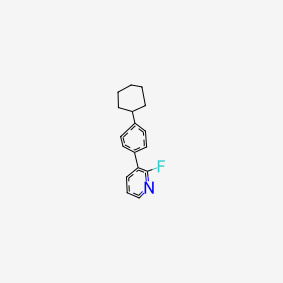 Fc1ncccc1-c1ccc(C2CCCCC2)cc1